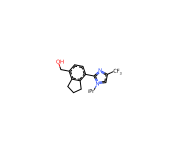 CC(C)n1cc(C(F)(F)F)nc1-c1ccc(CO)c2c1CCC2